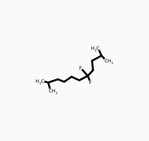 CC(C)CCCCC(F)(F)CCC(C)C